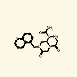 NC(=O)N1NCC(=O)N2CC(=O)N(Cc3cccc4ncccc34)CC21